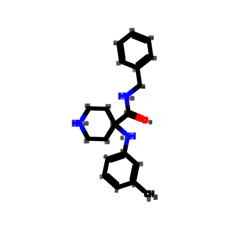 Cc1cccc(NC2(C(=O)NCc3ccccc3)CCNCC2)c1